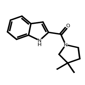 CC1(C)CCN(C(=O)c2cc3ccccc3[nH]2)C1